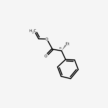 C=COC(=O)[C@H](CC)c1ccccc1